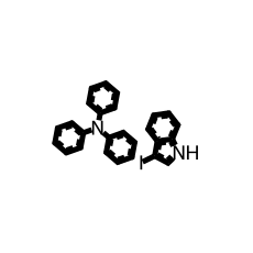 Ic1c[nH]c2ccccc12.c1ccc(N(c2ccccc2)c2ccccc2)cc1